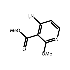 COC(=O)c1c(N)ccnc1OC